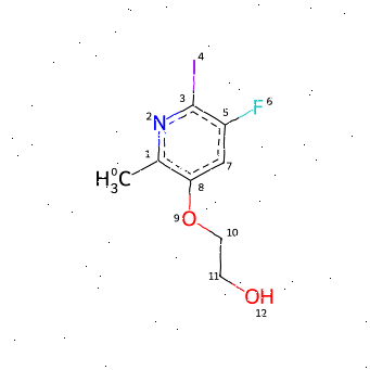 Cc1nc(I)c(F)cc1OCCO